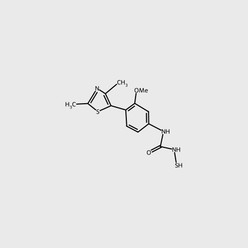 COc1cc(NC(=O)NS)ccc1-c1sc(C)nc1C